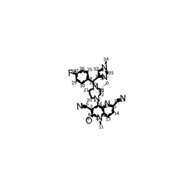 C[C@@H]1CN(c2c(C#N)c(=O)n(C)c3ccc(C#N)nc23)CCN1C(c1ccc(F)cc1)c1cn(C)cn1